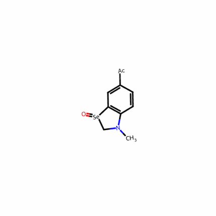 CC(=O)c1ccc2c(c1)[Se](=O)CN2C